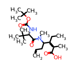 C=CCC(C(CC)=C(C)C(=O)O)N(C)C(=O)[C@@H](NC(=O)OC(C)(C)C)C(C)(C)C